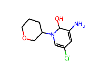 NC1=CC(Cl)=CN(C2CCCOC2)C1O